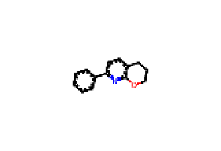 c1ccc(-c2ccc3c(n2)OCCC3)cc1